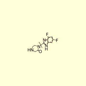 CC(C)(c1nc2c(F)cc(F)cc2[nH]1)N1CCNCC1=O